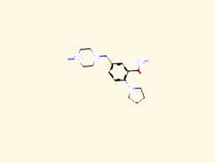 CN1CCN(Cc2ccc(N3CCCC3)c(C(=O)NO)c2)CC1